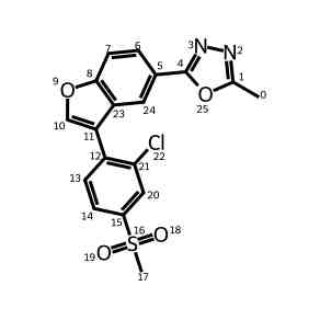 Cc1nnc(-c2ccc3occ(-c4ccc(S(C)(=O)=O)cc4Cl)c3c2)o1